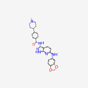 CN1CCC(c2ccc(C(=O)Nc3n[nH]c4nc(Nc5ccc6c(c5)OCO6)ccc34)cc2)CC1